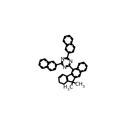 CC1(C)C2=C(C=CCC2)c2c1cc1ccccc1c2-c1nc(-c2ccc3ccccc3c2)nc(-c2ccc3ccccc3c2)n1